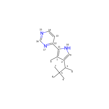 Cc1c(C(C)C(C)(C)C)c[nH]c1-c1ccncn1